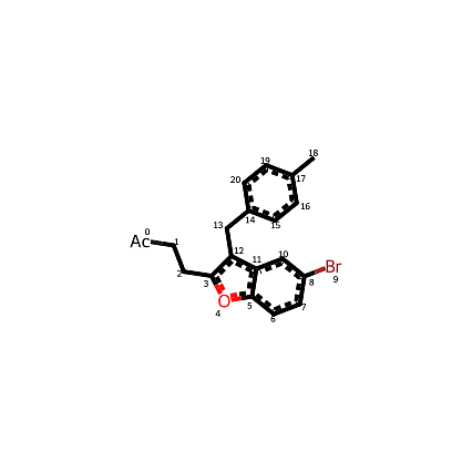 CC(=O)CCc1oc2ccc(Br)cc2c1Cc1ccc(C)cc1